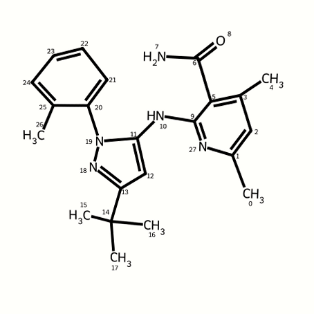 Cc1cc(C)c(C(N)=O)c(Nc2cc(C(C)(C)C)nn2-c2ccccc2C)n1